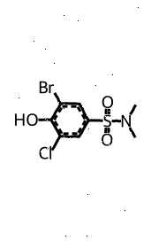 CN(C)S(=O)(=O)c1cc(Cl)c(O)c(Br)c1